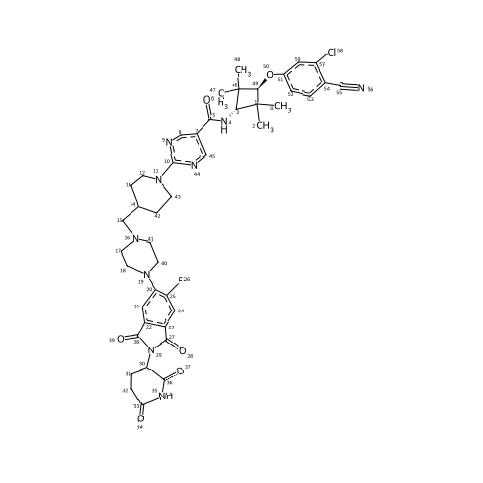 CC1(C)[C@H](NC(=O)c2cnc(N3CCC(CN4CCN(c5cc6c(cc5F)C(=O)N(C5CCC(=O)NC5=O)C6=O)CC4)CC3)nc2)C(C)(C)[C@H]1Oc1ccc(C#N)c(Cl)c1